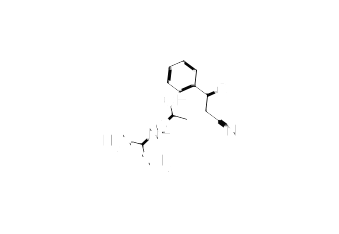 CC(=O)O.N#CCC(=O)c1ccccc1.N=C(N)N